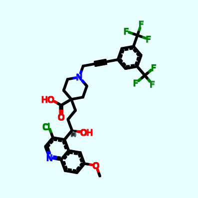 COc1ccc2ncc(Cl)c([C@H](O)CCC3(C(=O)O)CCN(CC#Cc4cc(C(F)(F)F)cc(C(F)(F)F)c4)CC3)c2c1